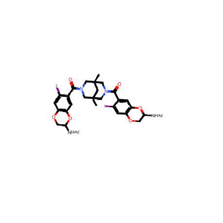 CC(=O)NC1COc2cc(I)c(C(=O)N3CC4(C)CN(C(=O)c5cc6c(cc5I)OCC(NC(C)=O)O6)CC(C)(C3)C4)cc2O1